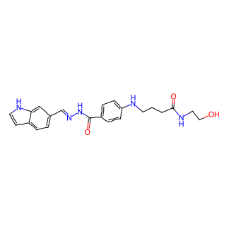 O=C(CCCNc1ccc(C(=O)NN=Cc2ccc3cc[nH]c3c2)cc1)NCCO